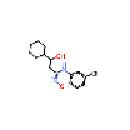 O/N=C(/CC(O)C1CCCCC1)Nc1cccc(C(F)(F)F)c1